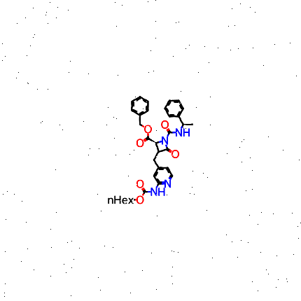 CCCCCCOC(=O)Nc1cc(CC2C(=O)N(C(=O)N[C@H](C)c3ccccc3)[C@@H]2C(=O)OCc2ccccc2)ccn1